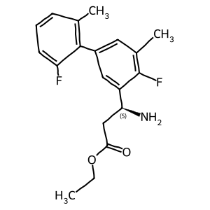 CCOC(=O)C[C@H](N)c1cc(-c2c(C)cccc2F)cc(C)c1F